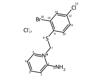 Nc1cccc[n+]1CSc1ccc(Cl)cc1Br.[Cl-]